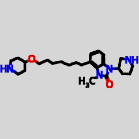 Cn1c(=O)n(C2CCCNC2)c2cccc(CCCCCCCOC3CCNCC3)c21